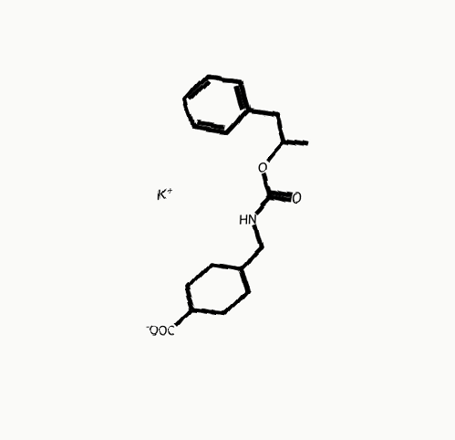 CC(Cc1ccccc1)OC(=O)NCC1CCC(C(=O)[O-])CC1.[K+]